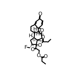 CCC(=O)OCC(=O)[C@@]1(OC(=O)CC)[C@H](CF)C[C@H]2[C@@H]3CCC4=CC(=O)C=C[C@]4(C)[C@@]34O[C@H]4C[C@@]21C